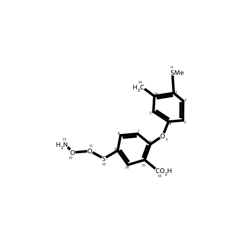 CSc1ccc(Oc2ccc(SOON)cc2C(=O)O)cc1C